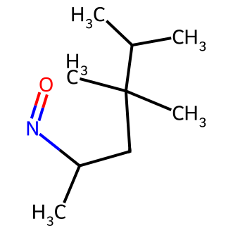 CC(CC(C)(C)C(C)C)N=O